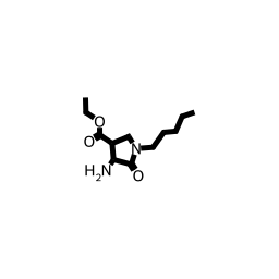 CCCCCN1CC(C(=O)OCC)C(N)C1=O